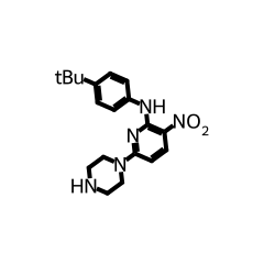 CC(C)(C)c1ccc(Nc2nc(N3CCNCC3)ccc2[N+](=O)[O-])cc1